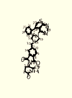 O=C1CCC(N2C(=O)c3ccc(CN4CCN(c5ncnc6scc(-c7ccccc7)c56)CC4)cc3C2=O)C(=O)N1